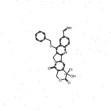 CC[C@@]1(O)C(=O)OCc2c1cc1n(c2=O)Cc2c-1nc1ccc(C=N)cc1c2OCc1ccccc1